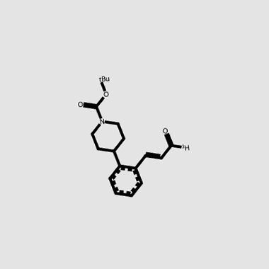 [3H]C(=O)/C=C/c1ccccc1C1CCN(C(=O)OC(C)(C)C)CC1